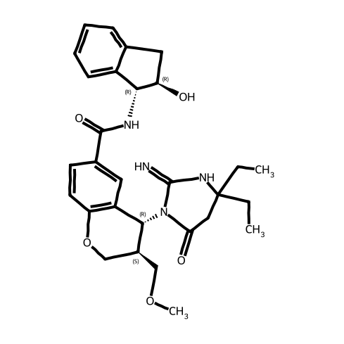 CCC1(CC)CC(=O)N([C@H]2c3cc(C(=O)N[C@@H]4c5ccccc5C[C@H]4O)ccc3OC[C@@H]2COC)C(=N)N1